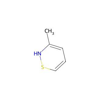 CC1=CC=CSN1